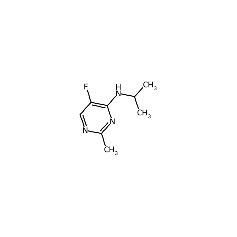 Cc1ncc(F)c(NC(C)C)n1